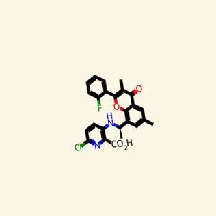 Cc1cc([C@@H](C)Nc2ccc(Cl)nc2C(=O)O)c2oc(-c3ccccc3F)c(C)c(=O)c2c1